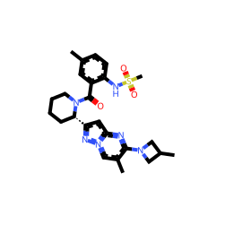 Cc1ccc(NS(C)(=O)=O)c(C(=O)N2CCCC[C@H]2c2cc3nc(N4CC(C)C4)c(C)cn3n2)c1